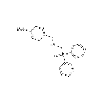 COc1ccc(CNCP(=O)(c2ccccc2)c2ccccc2)cc1